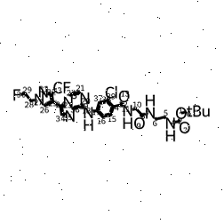 CC(C)(C)OC(=O)NCCNC(=O)CNC(=O)c1ccc(Nc2nccn3c(-c4cn(CCF)nc4C(F)(F)F)cnc23)cc1Cl